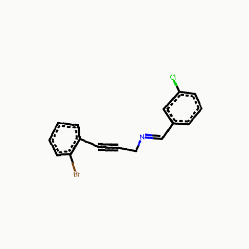 Clc1cccc(C=NCC#Cc2ccccc2Br)c1